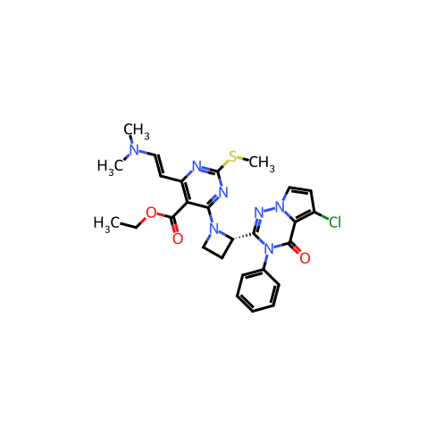 CCOC(=O)c1c(/C=C/N(C)C)nc(SC)nc1N1CC[C@H]1c1nn2ccc(Cl)c2c(=O)n1-c1ccccc1